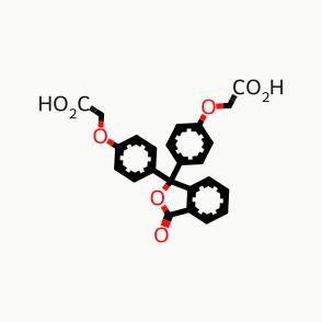 O=C(O)COc1ccc(C2(c3ccc(OCC(=O)O)cc3)OC(=O)c3ccccc32)cc1